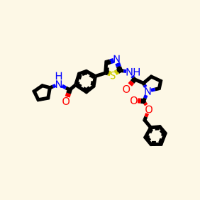 O=C(NC1CCCC1)c1ccc(-c2cnc(NC(=O)C3CCCN3C(=O)OCc3ccccc3)s2)cc1